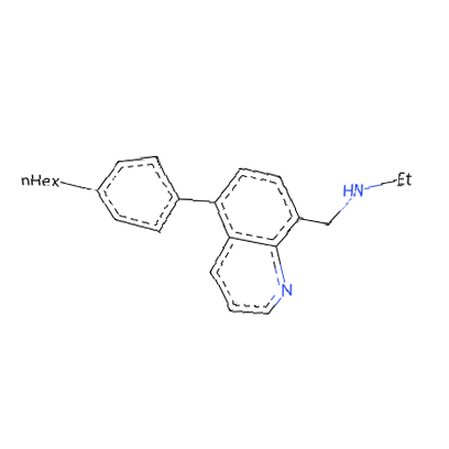 [CH2]CNCc1ccc(-c2ccc(CCCCCC)cc2)c2cccnc12